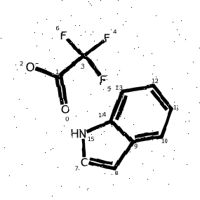 O=C([O-])C(F)(F)F.[C+]1=Cc2ccccc2N1